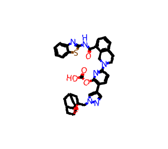 O=C(O)Oc1nc(N2CCc3cccc(C(=O)Nc4nc5ccccc5s4)c3C2)ccc1-c1cnn(CC23CC4CC(CC(C4)O2)C3)c1